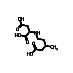 CC(CCNC(CC(=O)O)C(=O)O)CC(=O)O